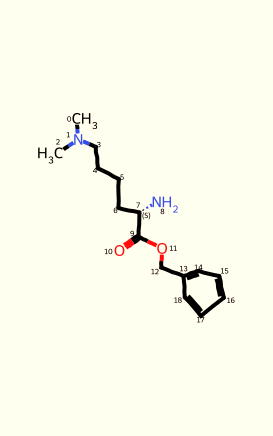 CN(C)CCCC[C@H](N)C(=O)OCc1ccccc1